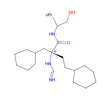 CCCC(CO)NC(=O)[C@@](CCC1CCCCC1)(CC1CCCCC1)NC=N